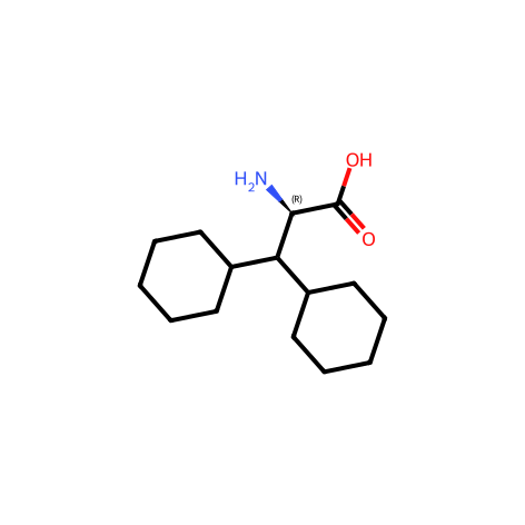 N[C@@H](C(=O)O)C(C1CCCCC1)C1CCCCC1